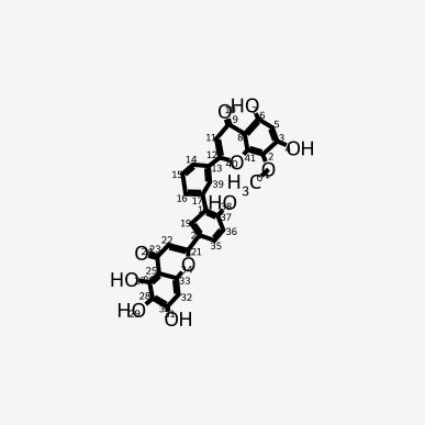 COc1c(O)cc(O)c2c(=O)cc(-c3cccc(-c4cc(-c5cc(=O)c6c(O)c(O)c(O)cc6o5)ccc4O)c3)oc12